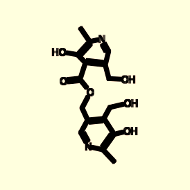 Cc1ncc(COC(=O)c2c(CO)cnc(C)c2O)c(CO)c1O